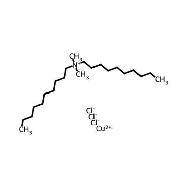 CCCCCCCCCC[N+](C)(C)CCCCCCCCCC.[Cl-].[Cl-].[Cl-].[Cu+2]